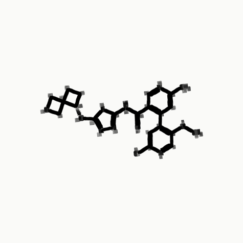 COc1cnc(Cl)cc1-c1cc(C)ncc1C(=O)Nc1nnc(O[C@H]2CCC23COC3)s1